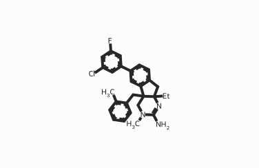 CCC12Cc3ccc(-c4cc(F)cc(Cl)c4)cc3C1(Cc1ccccc1C)CN(C)C(N)=N2